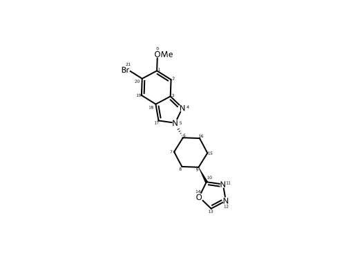 COc1cc2nn([C@H]3CC[C@H](c4nnco4)CC3)cc2cc1Br